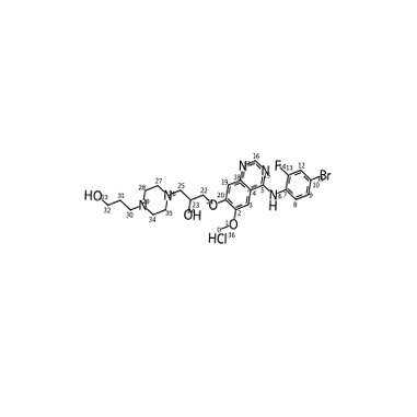 COc1cc2c(Nc3ccc(Br)cc3F)ncnc2cc1OCC(O)CN1CCN(CCCO)CC1.Cl